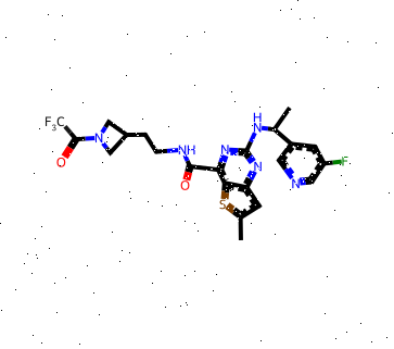 Cc1cc2nc(NC(C)c3cncc(F)c3)nc(C(=O)NCCC3CN(C(=O)C(F)(F)F)C3)c2s1